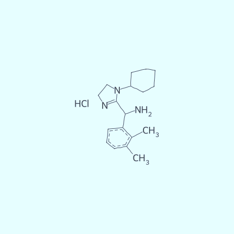 Cc1cccc(C(N)C2=NCCN2C2CCCCC2)c1C.Cl